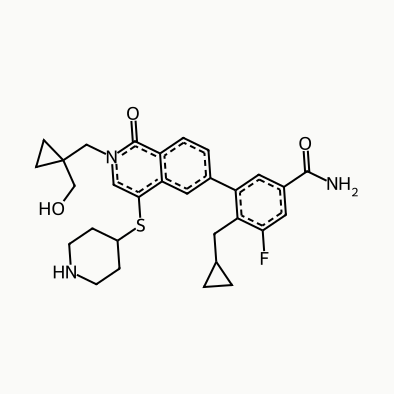 NC(=O)c1cc(F)c(CC2CC2)c(-c2ccc3c(=O)n(CC4(CO)CC4)cc(SC4CCNCC4)c3c2)c1